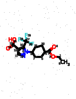 CCOC(=O)C1CCC(n2ncc(C(=O)O)c2C(F)(F)F)CC1